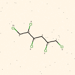 ClCC(Cl)CC(Cl)C(Cl)CCl